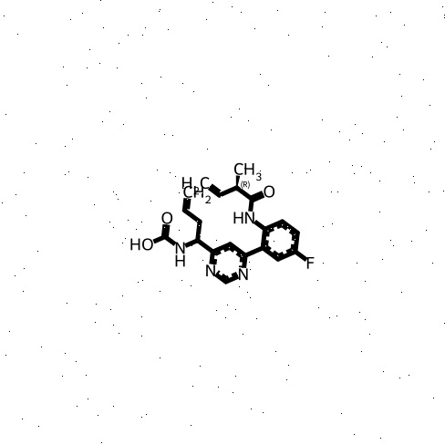 C=CCC(NC(=O)O)c1cc(-c2cc(F)ccc2NC(=O)[C@H](C)C=C)ncn1